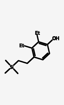 CCc1c(O)ccc(CC[Si](C)(C)C)c1CC